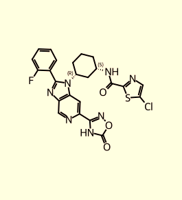 O=C(N[C@H]1CCC[C@@H](n2c(-c3ccccc3F)nc3cnc(-c4noc(=O)[nH]4)cc32)C1)c1ncc(Cl)s1